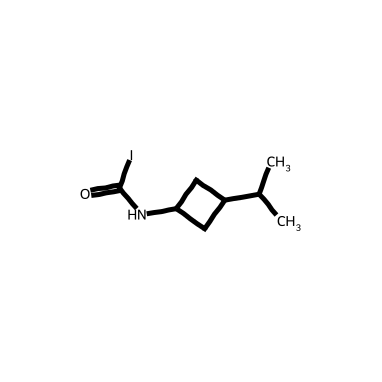 CC(C)C1CC(NC(=O)I)C1